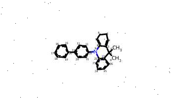 CC1(C)C2=CCCC=C2N(c2ccc(-c3ccccc3)cc2)c2ccccc21